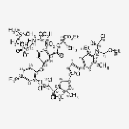 CC1(C)OC(c2ccco2)CN1C(=O)C(Cl)Cl.CCOC(=O)C(C)OC(=O)c1cc(Oc2ccc(C(F)(F)F)cc2Cl)ccc1[N+](=O)[O-].CCOCN(C(=O)CCl)c1c(C)cccc1CC.C[S+](C)C.O=C(O)CNCP(=O)([O-])O